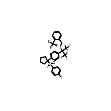 O=S(=O)(c1ccc(F)cc1)C1(c2ccc(C(OCc3ccccc3C(F)(F)F)(C(F)(F)F)C(F)(F)F)cc2)CCCC1